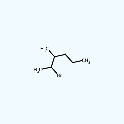 CC[CH]C(C)C(C)Br